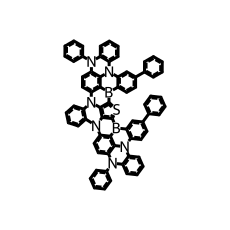 c1ccc(-c2ccc3c(c2)B2c4sc5c6c4N(c4ccccc4N6c4ccc6c7c4B5c4ccc(-c5ccccc5)cc4N7c4ccccc4N6c4ccccc4)c4ccc5c(c42)N3c2ccccc2N5c2ccccc2)cc1